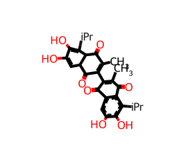 CC1=C(C2=C(C)C(=O)C3C(C(C)C)=C(O)C(O)=CC3C2=O)C(=O)c2cc(O)c(O)c(C(C)C)c2C1=O